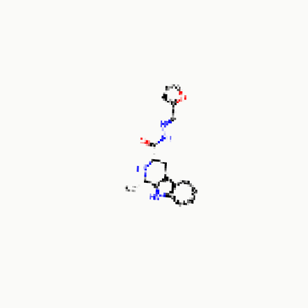 C[C@@H]1N[C@H](C(=O)N/N=C/c2ccco2)Cc2c1[nH]c1ccccc21